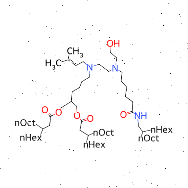 CCCCCCCCC(CCCCCC)CNC(=O)CCCCCN(CCO)CCN(CC=C(C)C)CCCCC(COC(=O)CC(CCCCCC)CCCCCCCC)COC(=O)CC(CCCCCC)CCCCCCCC